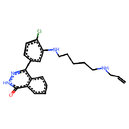 C=CCNCCCCCNc1cc(-c2n[nH]c(=O)c3ccccc23)ccc1Cl